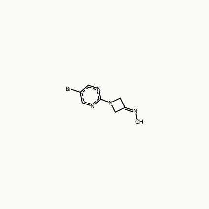 ON=C1CN(c2ncc(Br)cn2)C1